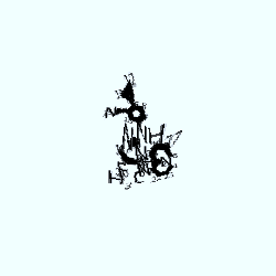 CN(c1nc(Nc2ccc(C3CC3)c(C#N)c2)ncc1F)[C@H]1CCCN2CCCC[C@H]12